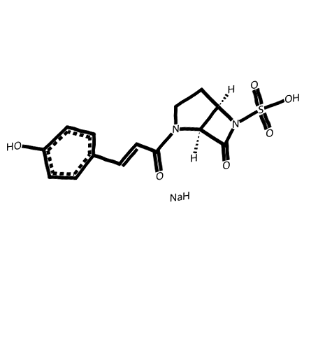 O=C(/C=C/c1ccc(O)cc1)N1CC[C@@H]2[C@H]1C(=O)N2S(=O)(=O)O.[NaH]